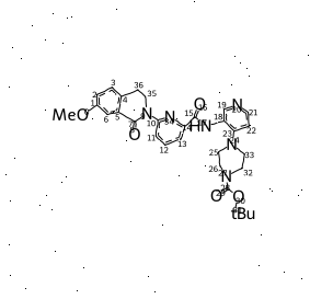 COc1ccc2c(c1)C(=O)N(c1cccc(C(=O)Nc3cnccc3N3CCN(C(=O)OC(C)(C)C)CC3)n1)CC2